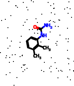 Cc1cccc(NC(N)=O)c1C